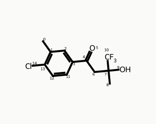 Cc1cc(C(=O)CC(C)(O)C(F)(F)F)ccc1Cl